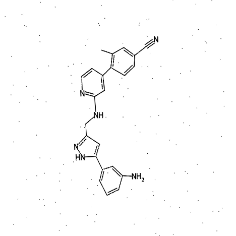 Cc1cc(C#N)ccc1-c1ccnc(NCc2cc(-c3cccc(N)c3)[nH]n2)c1